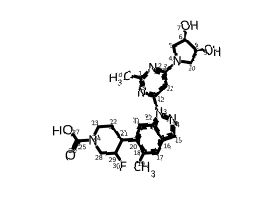 Cc1nc(N2C[C@@H](O)[C@@H](O)C2)cc(-n2ncc3cc(C)c(C4CCN(C(=O)O)CC4F)cc32)n1